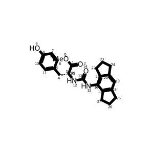 COC(=O)[C@@H](Cc1ccc(O)cc1)NC(=O)Nc1c2c(cc3c1CCC3)CCC2